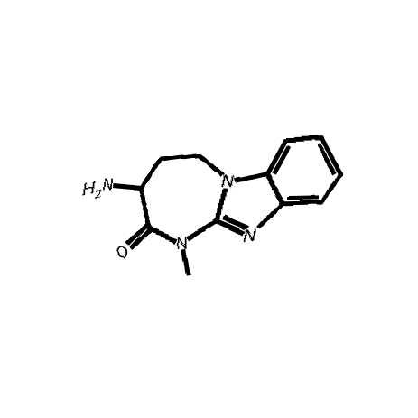 CN1C(=O)C(N)CCn2c1nc1ccccc12